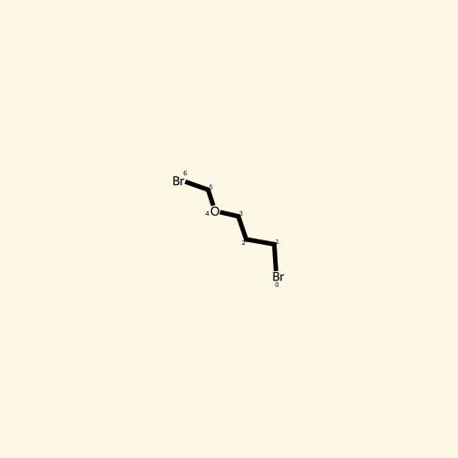 BrCCCOCBr